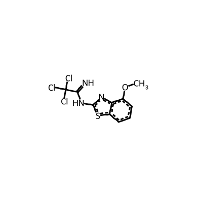 COc1cccc2sc(NC(=N)C(Cl)(Cl)Cl)nc12